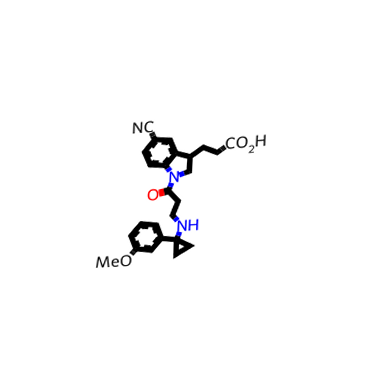 COc1cccc(C2(NCCC(=O)N3CC(CCC(=O)O)c4cc(C#N)ccc43)CC2)c1